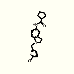 O=C(Nc1ccc2c(c1)CCN2Cc1ccc(Cl)s1)C1CCCC1